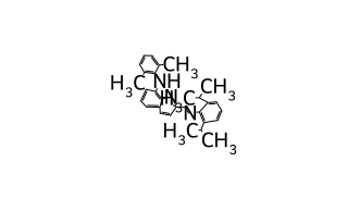 Cc1cccc(C)c1Nc1cccc2ccc(C=Nc3c(C(C)C)cccc3C(C)C)nc12